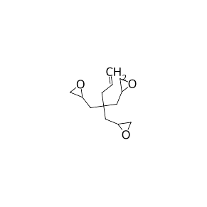 C=CCC(CC1CO1)(CC1CO1)CC1CO1